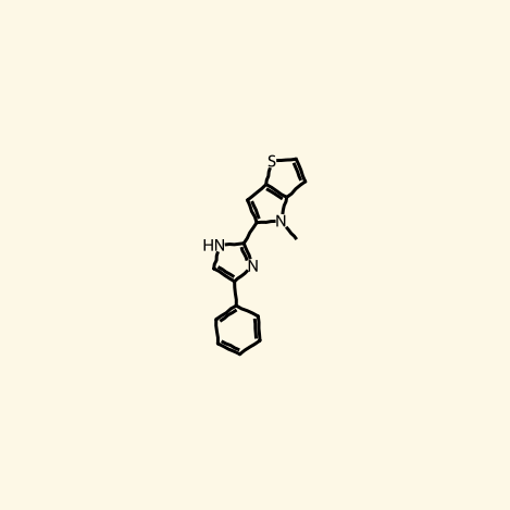 Cn1c(-c2nc(-c3ccccc3)c[nH]2)cc2sccc21